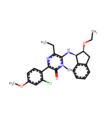 CCO[C@H]1Cc2ccccc2[C@H]1Nc1c(CC)nc(-c2ccc(OC)cc2Cl)c(=O)n1C